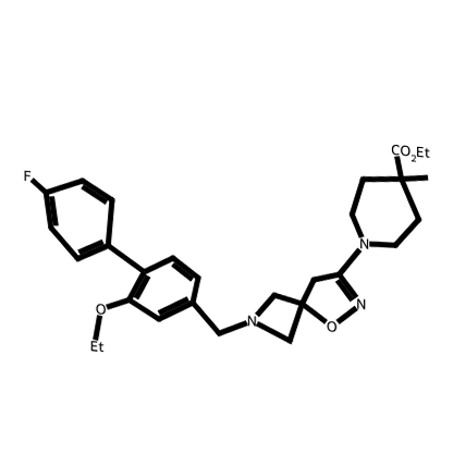 CCOC(=O)C1(C)CCN(C2=NOC3(C2)CN(Cc2ccc(-c4ccc(F)cc4)c(OCC)c2)C3)CC1